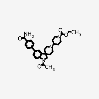 CCOC(=O)N1CCC(N2CCC3(CC2)CN(C(C)=O)c2ccc(-c4ccc(C(N)=O)cc4)cc23)CC1